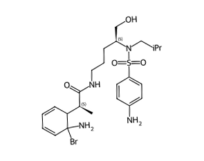 CC(C)CN([C@H](CO)CCCNC(=O)[C@@H](C)C1C=CC=CC1(N)Br)S(=O)(=O)c1ccc(N)cc1